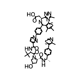 Cc1ncsc1-c1ccc([C@H](C)NC(=O)[C@@H]2C[C@@H](O)CN2C(=O)[C@@H](NC(=O)c2ccn(-c3ccc(C4=N[C@@H](CC(=O)O)c5nnc(C)n5-c5sc(C)c(C)c54)cc3)n2)C(C)(C)C)cc1